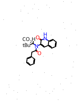 CC(C)(C)C(C(=O)O)N(C(=O)Cc1ccccc1)c1cc2ccccc2[nH]c1=O